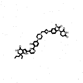 CCCC1(CC)CNC(=O)c2cc(-c3ccnc(-c4ccc(N5CCN(CC6CN(c7ccc8c(c7)n(C)c(=O)n8C7CCC(=O)NC7=O)C6)CC5)cc4F)n3)[nH]c21